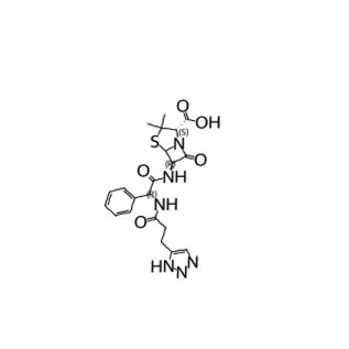 CC1(C)SC2[C@H](NC(=O)[C@H](NC(=O)CCc3cnn[nH]3)c3ccccc3)C(=O)N2[C@H]1C(=O)O